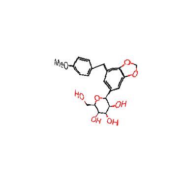 COc1ccc(Cc2cc([C@@H]3O[C@H](CO)C(O)[C@H](O)[C@@H]3O)cc3c2OCO3)cc1